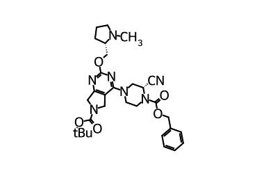 CN1CCC[C@H]1COc1nc2c(c(N3CCN(C(=O)OCc4ccccc4)[C@@H](C#N)C3)n1)CN(C(=O)OC(C)(C)C)C2